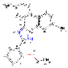 Bc1ccc2c3ccc(B)cc3c3[nH]c(-c4ccccc4OCC)nc3c2c1